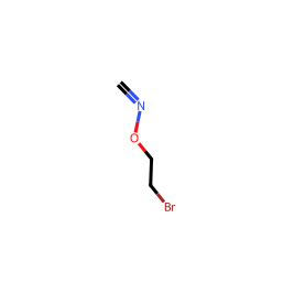 C=NOCCBr